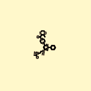 CC(=O)NCCNc1cc(N2CCN(C(=O)C3=C(C)OCCS3)CC2)nc(-c2ccccc2)n1